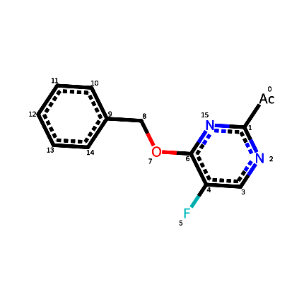 CC(=O)c1ncc(F)c(OCc2ccccc2)n1